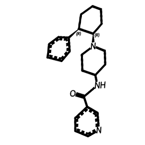 O=C(NC1CCN([C@@H]2CCCC[C@@H]2c2ccccc2)CC1)c1cccnc1